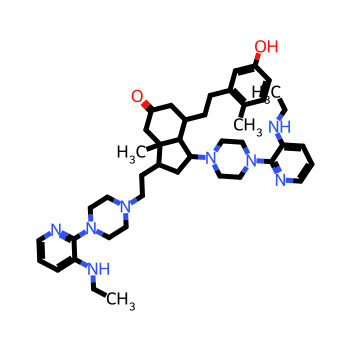 CCNc1cccnc1N1CCN(CCC2CC(N3CCN(c4ncccc4NCC)CC3)C3C(CCc4cc(O)ccc4C)CC(=O)CC23C)CC1